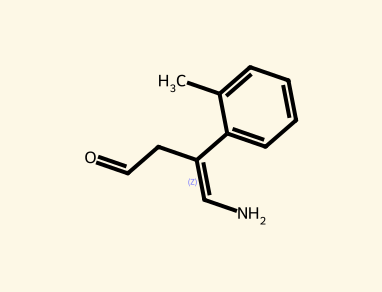 Cc1ccccc1/C(=C\N)CC=O